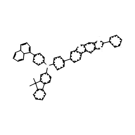 CC1(C)c2ccccc2-c2ccc(N(c3ccc(C4=CC=CC5C=CC=CC45)cc3)c3ccc(-c4ccc5c(c4)oc4cc6oc(-c7ccccc7)nc6cc45)cc3)cc21